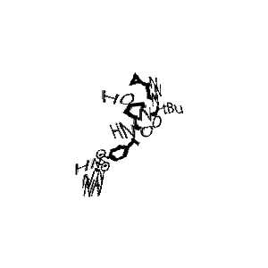 CC(NC(=O)[C@H]1C[C@H](O)CN1C(=O)[C@H](n1cc(C2CC2)nn1)C(C)(C)C)c1ccc(S(=O)(=O)Nc2nnn(C)n2)cc1